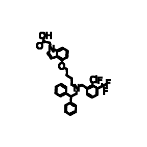 O=C(O)Cn1ccc2c(OCCCCN(Cc3cccc(C(F)(F)F)c3Cl)CC(c3ccccc3)c3ccccc3)cccc21